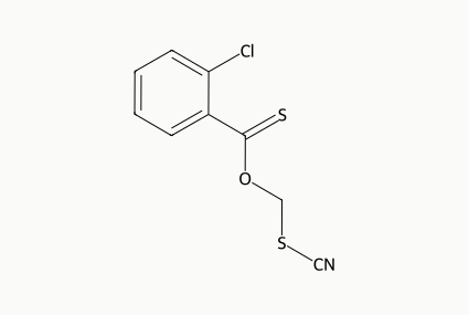 N#CSCOC(=S)c1ccccc1Cl